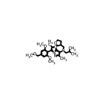 COCc1cc(OC)c(-c2c(C)oc3c(N(CC(C)C)CC4CCOC4)c(C)nn23)c(OC)c1